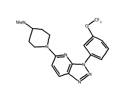 CNC1CCN(c2ccc3nnn(-c4cccc(OC(F)(F)F)c4)c3n2)CC1